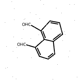 O=Cc1cccc2cccc(C=O)c12